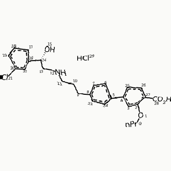 CCCOc1cc(-c2ccc(CCCNC[C@@H](O)c3cccc(Cl)c3)cc2)ccc1C(=O)O.Cl